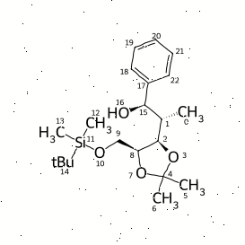 C[C@H]([C@H]1OC(C)(C)O[C@H]1CO[Si](C)(C)C(C)(C)C)[C@@H](O)c1ccccc1